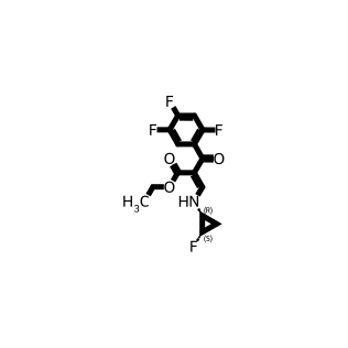 CCOC(=O)C(=CN[C@@H]1C[C@@H]1F)C(=O)c1cc(F)c(F)cc1F